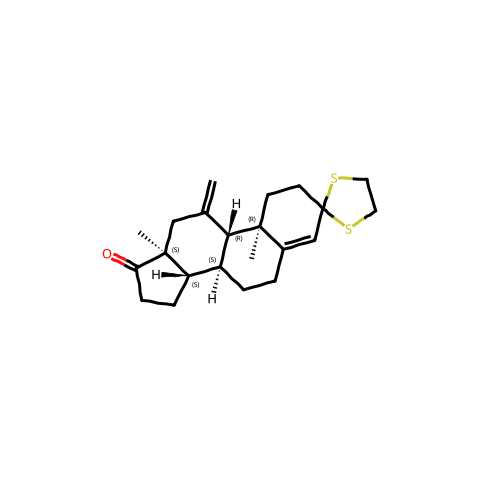 C=C1C[C@]2(C)C(=O)CC[C@H]2[C@@H]2CCC3=CC4(CC[C@]3(C)[C@@H]12)SCCS4